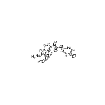 NC1=NC(c2cc(NC(=O)Oc3ccc(Cl)cn3)ccc2F)(C(F)(F)F)COC1